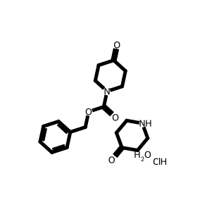 Cl.O.O=C1CCN(C(=O)OCc2ccccc2)CC1.O=C1CCNCC1